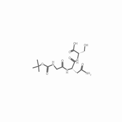 CC(C)(C)OC(=O)NCC(=O)N[C@@H](CC(N)=O)C(=O)N[C@@H](CO)C(=O)O